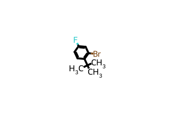 CC(C)(C)c1ccc(F)cc1Br